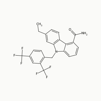 CCc1c[c]c2c3c(C(N)=O)cccc3n(Cc3ccc(C(F)(F)F)cc3C(F)(F)F)c2c1